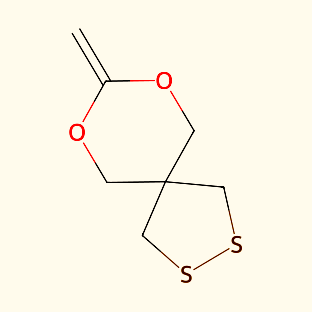 C=C1OCC2(CO1)CSSC2